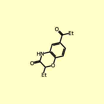 CCC(=O)c1ccc2c(c1)NC(=O)C(CC)O2